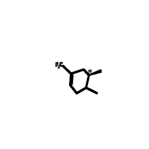 CC1CC=C(C(F)(F)F)C[C@H]1C